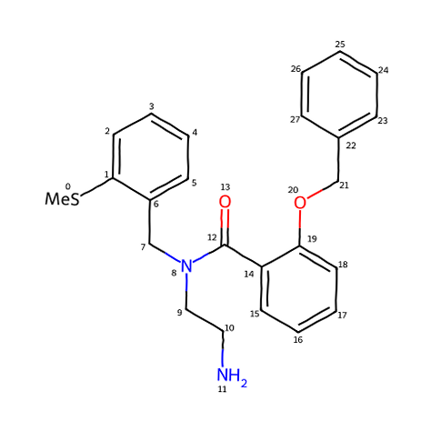 CSc1ccccc1CN(CCN)C(=O)c1ccccc1OCc1ccccc1